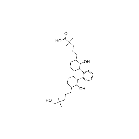 CC(C)(CO)CCCC1CCCC(c2ccccc2C2CCCC(CCCC(C)(C)C(=O)O)C2O)C1O